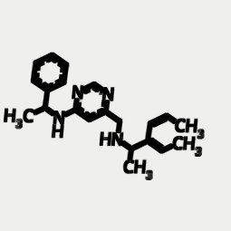 C/C=C\C(=C/C)C(C)NCc1cc(NC(C)c2ccccc2)ncn1